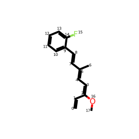 C=C\C(=C/C=C(C)/C=C/c1ccccc1F)OC